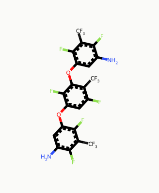 Nc1cc(Oc2cc(F)c(C(F)(F)F)c(Oc3cc(N)c(F)c(C(F)(F)F)c3F)c2F)c(F)c(C(F)(F)F)c1F